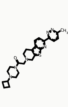 Cc1ccc(-c2ccc3c4c(sc3n2)CN(CC(=O)N2CCN(C3CCC3)CC2)CC4)nn1